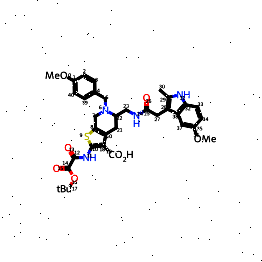 COc1ccc(CN2Cc3sc(NC(=O)C(=O)OC(C)(C)C)c(C(=O)O)c3CC2CNC(=O)Cc2c(C)[nH]c3ccc(OC)cc23)cc1